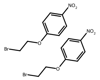 O=[N+]([O-])c1ccc(OCCBr)cc1.O=[N+]([O-])c1ccc(OCCBr)cc1